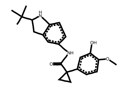 COc1ccc(C2(C(=O)Nc3ccc4c(c3)CC(C(C)(C)C)N4)CC2)cc1O